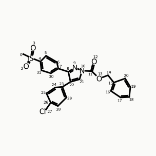 CS(=O)(=O)c1ccc(-c2nn(C(=O)OCc3ccccc3)[c]c2-c2ccc(Cl)cc2)cc1